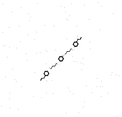 C=CC(=O)c1ccc(OCCCCOc2ccc(OCCCCOc3ccc(C(=O)C=C)cc3)cc2)cc1